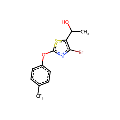 CC(O)c1sc(Oc2ccc(C(F)(F)F)cc2)nc1Br